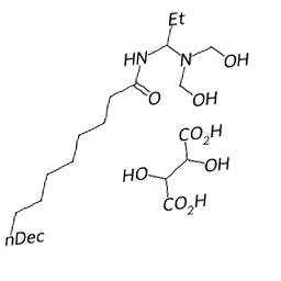 CCCCCCCCCCCCCCCCCC(=O)NC(CC)N(CO)CO.O=C(O)C(O)C(O)C(=O)O